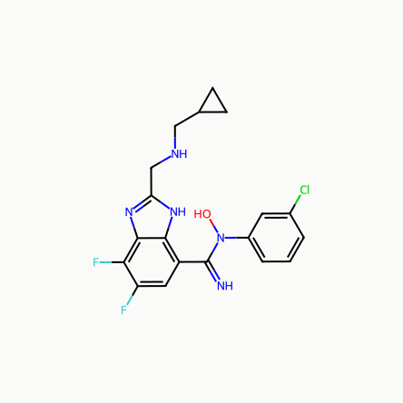 N=C(c1cc(F)c(F)c2nc(CNCC3CC3)[nH]c12)N(O)c1cccc(Cl)c1